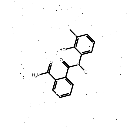 Cc1cccc(N(O)C(=O)c2ccccc2C(N)=O)c1O